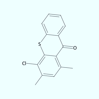 Cc1cc(C)c2c(=O)c3ccccc3sc2c1Cl